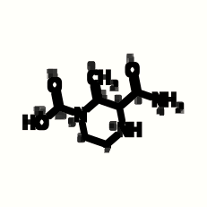 C=C1C(C(N)=O)NCCN1C(=O)O